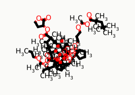 CCCOC(C)OC(=O)C(C)(CC(C)(C)CC)C(=C(C)C)C(C)(C(=O)OC(C)OCCCOC(C)OC(=O)C(C)(C)CC(C)(C)C)C(C)(C)C(C)C(C)(C(=O)OC1C2CC3C(=O)OC1C3C2)C(C)(C)C(C)C(C)(C(=O)OC1CCOC1=O)C(C)(C)C(C)(C)C(C)(C(=O)OC1(CC)CCCC1)C(C)(C)C